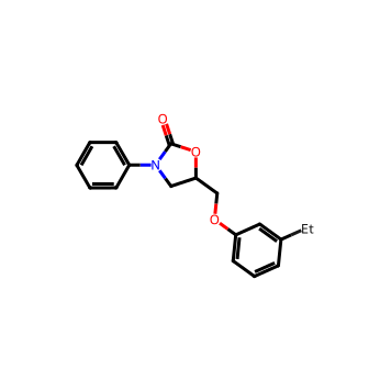 CCc1cccc(OCC2CN(c3ccccc3)C(=O)O2)c1